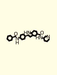 O=C(Nc1ccc(-c2cc3cc(C(=O)Nc4cccnc4)ccc3[nH]2)cc1)c1ccccc1